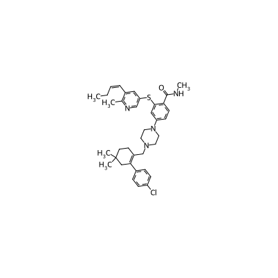 CC/C=C\c1cc(Sc2cc(N3CCN(CC4=C(c5ccc(Cl)cc5)CC(C)(C)CC4)CC3)ccc2C(=O)NC)cnc1C